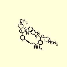 CN1CCC(OC(c2cccc(C#CCCC(N)c3cccc(C(OC4CCN(C)CC4)c4nc5ccccc5s4)c3)c2)c2nc3ccccc3s2)CC1